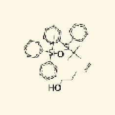 C=CCCCO.CC(C)(C)[Si](O[Si](c1ccccc1)(c1ccccc1)C(C)(C)C)(c1ccccc1)c1ccccc1